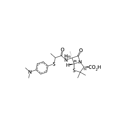 CC(Sc1ccc(N(C)C)cc1)C(=O)N[C@@]1(C)C(=O)N2[C@@H](C(=O)O)C(C)(C)S[C@@H]21